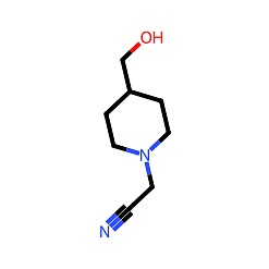 N#CCN1CCC(CO)CC1